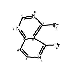 CC(C)c1nccc2ncnc(C(C)C)c12